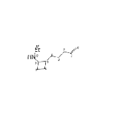 C=CCCCC1CCC1NCC